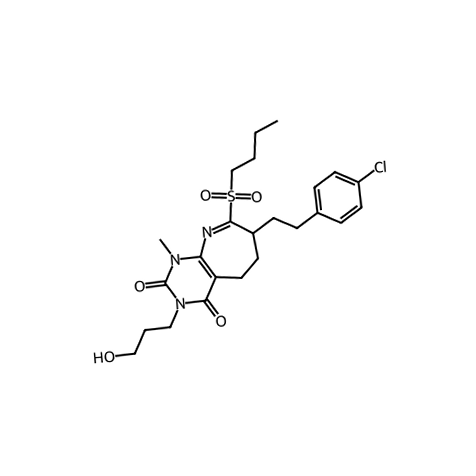 CCCCS(=O)(=O)C1=Nc2c(c(=O)n(CCCO)c(=O)n2C)CCC1CCc1ccc(Cl)cc1